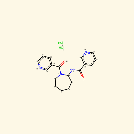 Cl.Cl.O=C(NC1CCCCCN1C(=O)c1cccnc1)c1cccnc1